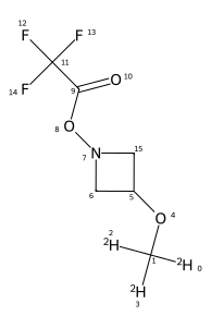 [2H]C([2H])([2H])OC1CN(OC(=O)C(F)(F)F)C1